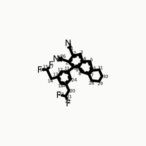 N#Cc1cc2cc3c(cc2c(-c2cc(CC(F)F)cc(CC(F)F)c2)c1C#N)CCCC3